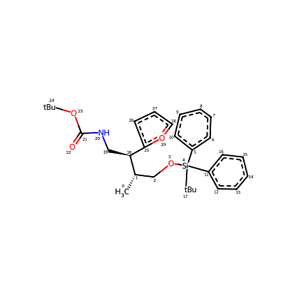 C[C@@H](CO[Si](c1ccccc1)(c1ccccc1)C(C)(C)C)[C@@H](CNC(=O)OC(C)(C)C)c1ccco1